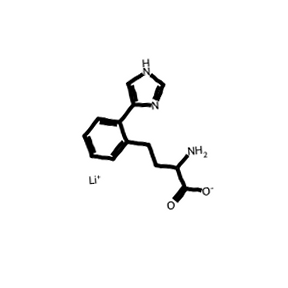 NC(CCc1ccccc1-c1c[nH]cn1)C(=O)[O-].[Li+]